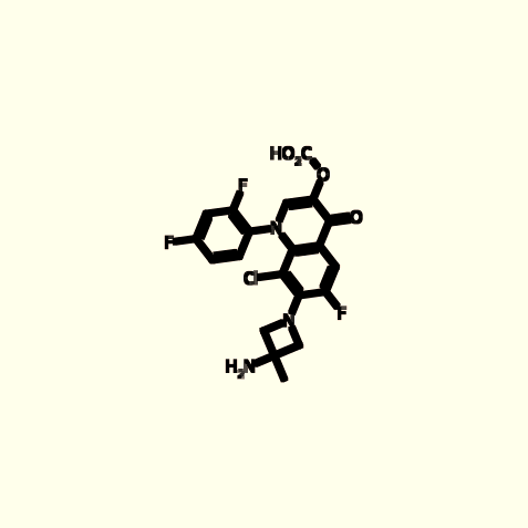 CC1(N)CN(c2c(F)cc3c(=O)c(OC(=O)O)cn(-c4ccc(F)cc4F)c3c2Cl)C1